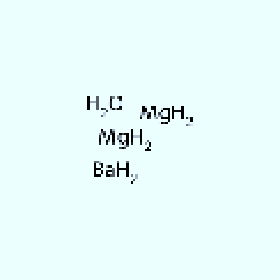 O.[BaH2].[MgH2].[MgH2]